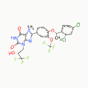 CC(Oc1ccc(-c2nc3c(c(=O)[nH]c(=O)n3C[C@@H](O)C(F)(F)F)n2C)cc1OC(F)(F)F)c1ccc(Cl)cc1Cl